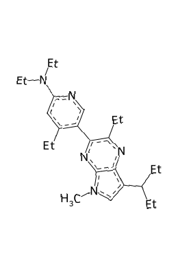 CCc1cc(N(CC)CC)ncc1-c1nc2c(nc1CC)c(C(CC)CC)cn2C